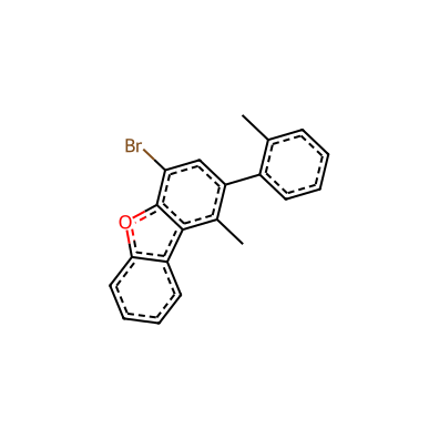 Cc1ccccc1-c1cc(Br)c2oc3ccccc3c2c1C